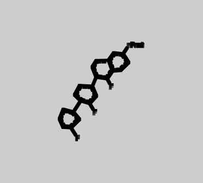 CCCCCc1ccc2c(F)c(-c3ccc(-c4cccc(F)c4)c(F)c3)ccc2c1